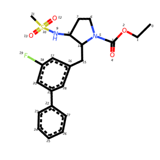 CCOC(=O)N1CCC(NS(C)(=O)=O)C1Cc1cc(F)cc(-c2ccccc2)c1